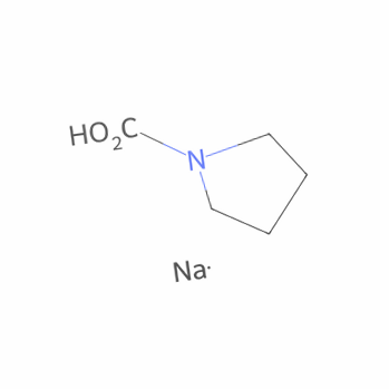 O=C(O)N1CCCC1.[Na]